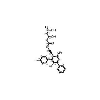 CC(C)c1nc(-c2ccccc2)c(F)c(-c2ccc(F)cc2)c1C#COC(=O)CC(O)C[PH](=O)O